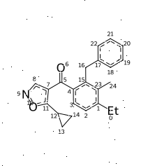 CCc1ccc(C(=O)c2cnoc2C2CC2)c(Cc2ccccc2)c1C